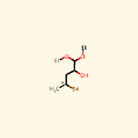 CCOC(OCC)C(O)C[C@H](C)S